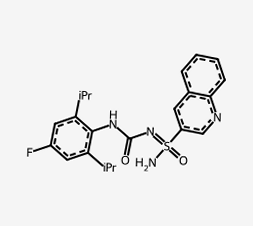 CC(C)c1cc(F)cc(C(C)C)c1NC(=O)N=S(N)(=O)c1cnc2ccccc2c1